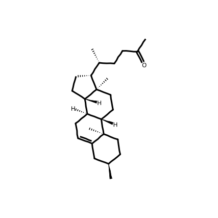 CC(=O)CC[C@@H](C)[C@H]1CC[C@H]2[C@@H]3CC=C4C[C@H](C)CC[C@]4(C)[C@H]3CC[C@]12C